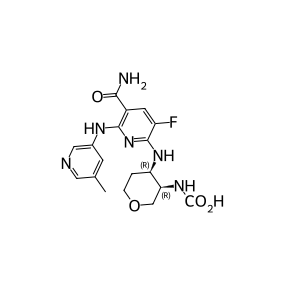 Cc1cncc(Nc2nc(N[C@@H]3CCOC[C@@H]3NC(=O)O)c(F)cc2C(N)=O)c1